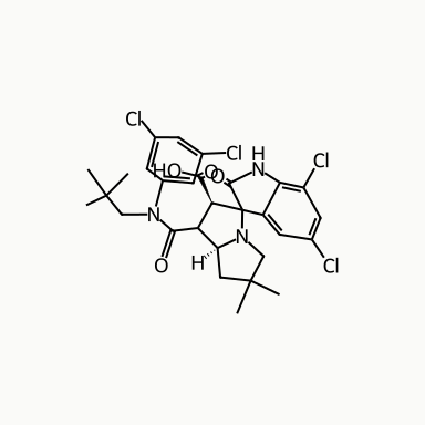 CC(C)(C)CN(C(=O)C1[C@@H](C(=O)O)C2(C(=O)Nc3c(Cl)cc(Cl)cc32)N2CC(C)(C)C[C@@H]12)c1cc(Cl)cc(Cl)c1